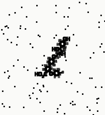 Cc1ccc(Oc2cc(-c3ccc(OCCN[C@H](C)[C@@H](O)c4ccc(O)cc4)cc3)ccc2C(=O)O)cc1